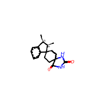 C[C@@H]1c2ccccc2C2(CCC3(CC2)NC(=O)NC3=O)[C@@H]1C